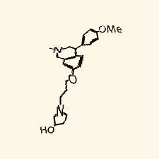 COc1ccc(C2CN(C)Cc3cc(OCCCN4CC[C@@H](O)C4)ccc32)cc1